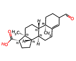 C[C@]12CC[C@H]3[C@@H](CCC4=CC(C=O)CC[C@@]43C)[C@@H]1CC[C@@H]2C(=O)O